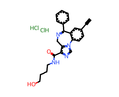 C#Cc1ccc2c(c1)C(c1ccccc1)=NCc1c(C(=O)NCCCCO)ncn1-2.Cl.Cl